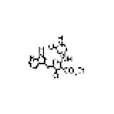 CCOC(=O)C1=C(NN2CCNC(=O)C2)OC(=Cc2c[nH]c3ncccc23)C1=O